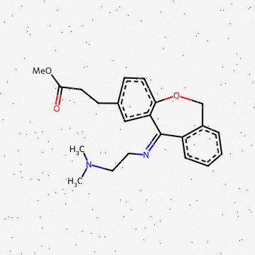 COC(=O)CCc1ccc2c(c1)C(=NCCN(C)C)c1ccccc1CO2